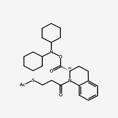 CC(=O)SCCC(=O)N1c2ccccc2CC[C@H]1C(=O)ON(C1CCCCC1)C1CCCCC1